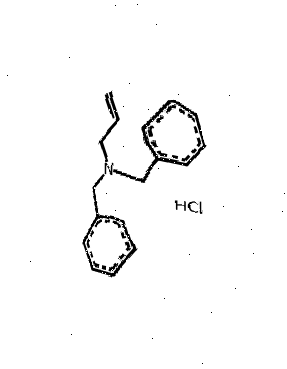 C=CCN(Cc1ccccc1)Cc1ccccc1.Cl